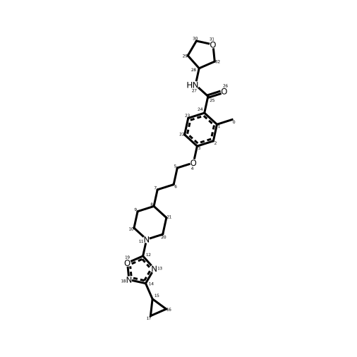 Cc1cc(OCCCC2CCN(c3nc(C4CC4)no3)CC2)ccc1C(=O)NC1CCOC1